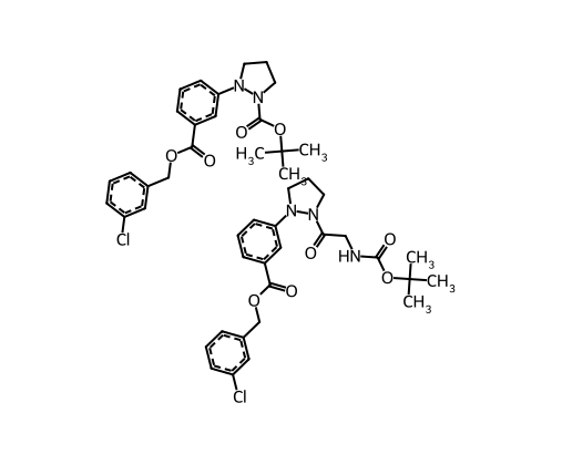 CC(C)(C)OC(=O)N1CCCN1c1cccc(C(=O)OCc2cccc(Cl)c2)c1.CC(C)(C)OC(=O)NCC(=O)N1CCCN1c1cccc(C(=O)OCc2cccc(Cl)c2)c1